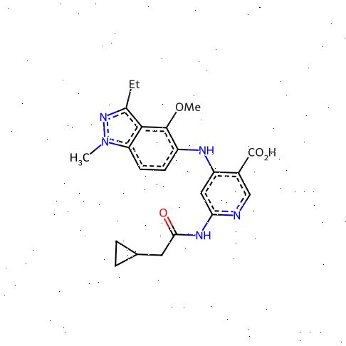 CCc1nn(C)c2ccc(Nc3cc(NC(=O)CC4CC4)ncc3C(=O)O)c(OC)c12